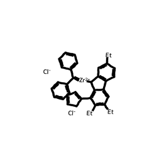 CCc1ccc2c(c1)[CH]([Zr+2]=[C](c1ccccc1)c1ccccc1)c1c-2cc(CC)c(CC)c1C1=CC=CC1.[Cl-].[Cl-]